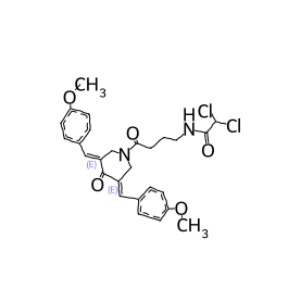 COc1ccc(/C=C2\CN(C(=O)CCCNC(=O)C(Cl)Cl)C/C(=C\c3ccc(OC)cc3)C2=O)cc1